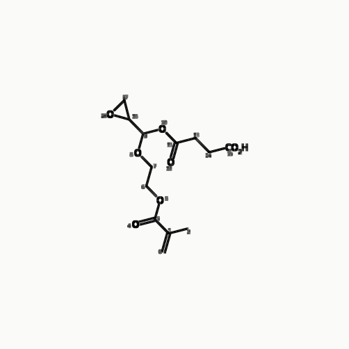 C=C(C)C(=O)OCCOC(OC(=O)CCC(=O)O)C1CO1